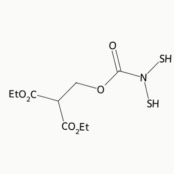 CCOC(=O)C(COC(=O)N(S)S)C(=O)OCC